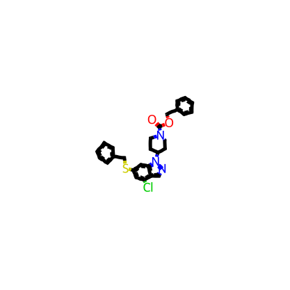 O=C(OCc1ccccc1)N1CCC(n2ncc3c(Cl)cc(SCc4ccccc4)cc32)CC1